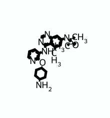 Cc1cc(N=S(C)(C)=O)cc2ncnc(Nc3cccnc3O[C@H]3CC[C@H](N)CC3)c12